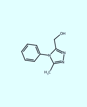 Cc1nnc(CO)n1-c1ccccc1